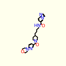 O=C(NCCCCC1CCN(C(=O)c2ccc(N3CCOCC3)nc2)CC1)c1ccc2nccn2c1